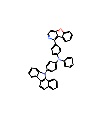 c1ccc(N(c2ccc(-c3nccc4oc5ccccc5c34)cc2)c2ccc(-n3c4ccccc4c4ccc5ccccc5c43)cc2)cc1